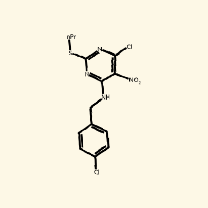 CCCSc1nc(Cl)c([N+](=O)[O-])c(NCc2ccc(Cl)cc2)n1